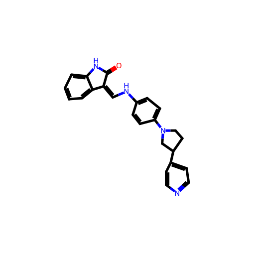 O=C1Nc2ccccc2C1=CNc1ccc(N2CCC(c3ccncc3)C2)cc1